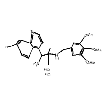 COc1cc(CNC(C)(C)C(N)c2ccnc3cc(Cl)ccc23)cc(OC)c1OC.Cl.Cl